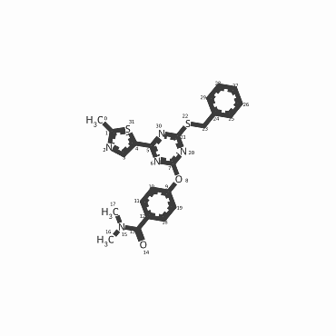 Cc1ncc(-c2nc(Oc3ccc(C(=O)N(C)C)cc3)nc(SCc3ccccc3)n2)s1